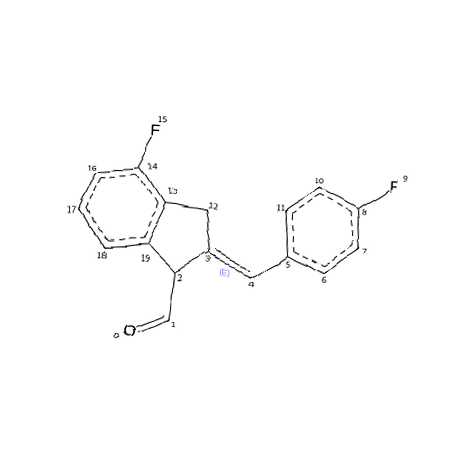 O=CC1/C(=C/c2ccc(F)cc2)Cc2c(F)cccc21